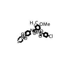 COc1cc(NS(=O)(=O)c2ccc(Cl)cc2)c(C(=O)Nc2ccc(S(=O)(=O)N3CCSCC3)cc2)cc1C